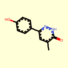 Cc1cc(-c2ccc(O)cc2)n[nH]c1=O